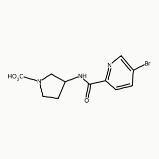 O=C(NC1CCN(C(=O)O)C1)c1ccc(Br)cn1